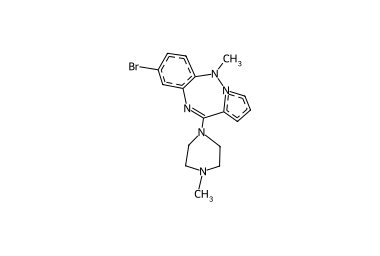 CN1CCN(C2=Nc3cc(Br)ccc3N(C)n3cccc32)CC1